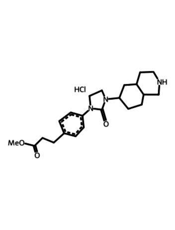 COC(=O)CCc1ccc(N2CCN(C3CCC4CNCCC4C3)C2=O)cc1.Cl